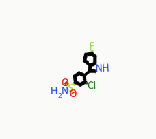 NS(=O)(=O)c1ccc(-c2c[nH]c3cc(F)ccc23)c(Cl)c1